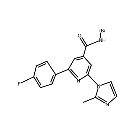 Cc1nccn1-c1cc(C(=O)NC(C)(C)C)cc(-c2ccc(F)cc2)n1